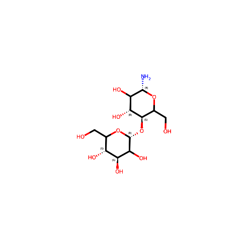 N[C@@H]1OC(CO)[C@@H](O[C@H]2OC(CO)[C@@H](O)[C@H](O)C2O)[C@H](O)C1O